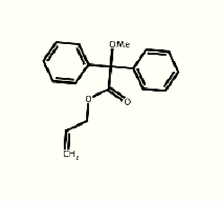 C=CCOC(=O)C(OC)(c1ccccc1)c1ccccc1